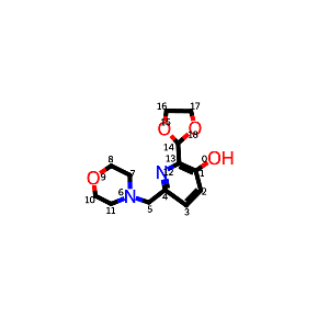 Oc1ccc(CN2CCOCC2)nc1C1OCCO1